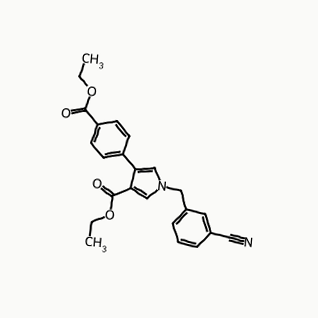 CCOC(=O)c1ccc(-c2cn(Cc3cccc(C#N)c3)cc2C(=O)OCC)cc1